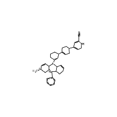 C[C@H]1C=CC2C(C1)[SiH](c1ccccc1)C1CCC=CC1N2C1=CC(C2=CCC(C3=CCNC(C#N)=C3)CC2)CCC1